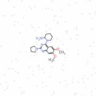 COc1cc2nc(N3CCCC3)nc(N3CCCCC3N)c2cc1OC